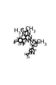 Cc1nc2nc(N3C[C@@H](c4cnn(C5CC5)c4)O[C@@H](C)C3)nc(-c3ccc(F)cc3F)c2nc1C